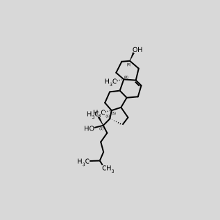 CC(C)CCC[C@](C)(O)[C@H]1CCC2C3CC=C4C[C@H](O)CC[C@]4(C)C3CC[C@@]21C